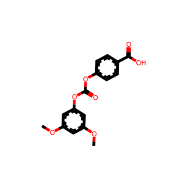 COc1cc(OC)cc(OC(=O)Oc2ccc(C(=O)O)cc2)c1